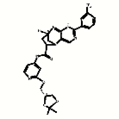 CC1(C)OC[C@@H](COc2cc(NC(=O)C3C[C@H]4CN3C3=CN=C(c5cccc(C(F)(F)F)c5)NC3=N4)ccn2)O1